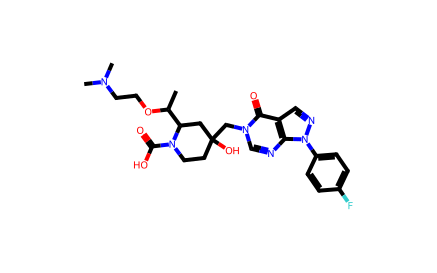 CC(OCCN(C)C)C1CC(O)(Cn2cnc3c(cnn3-c3ccc(F)cc3)c2=O)CCN1C(=O)O